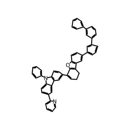 C1=C(c2ccc3c(c2)c2cc(-c4ccccn4)ccc2n3-c2ccccc2)c2oc3ccc(-c4cccc(-c5cccc(-c6ccccc6)c5)c4)cc3c2CC1